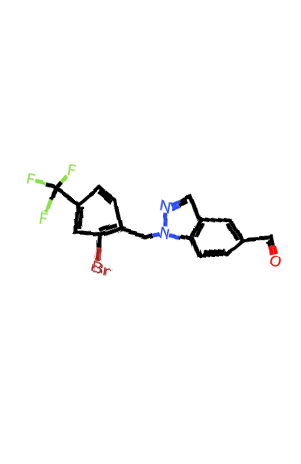 O=Cc1ccc2c(cnn2Cc2ccc(C(F)(F)F)cc2Br)c1